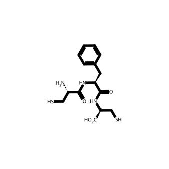 N[C@@H](CS)C(=O)N[C@@H](Cc1ccccc1)C(=O)N[C@@H](CS)C(=O)O